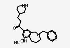 Cl.Cl.O=C(CCC1CCNCC1)c1ccc2c(c1)CN(Cc1ccccc1)CCC2